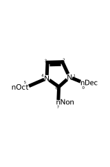 CCCCCCCCCCN1C=CN(CCCCCCCC)C1CCCCCCCCC